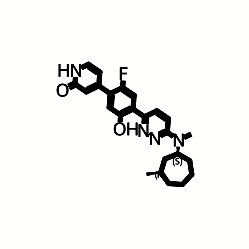 C[C@@H]1CCCC[C@H](N(C)c2ccc(-c3cc(F)c(-c4cc[nH]c(=O)c4)cc3O)nn2)C1